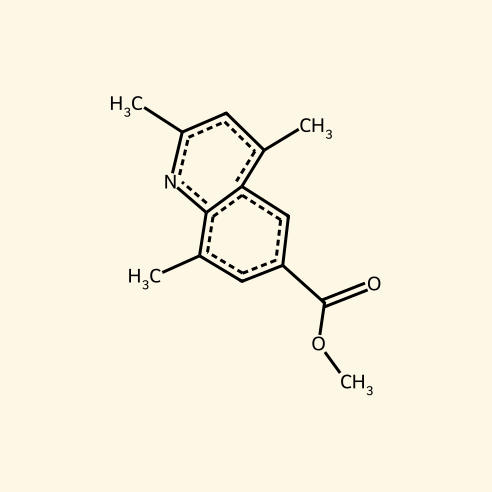 COC(=O)c1cc(C)c2nc(C)cc(C)c2c1